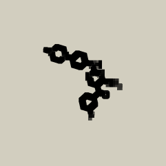 CN1CCN(c2ccc(Nc3ncc(C(=O)c4cccc(F)c4)c(N)n3)cc2)CC1